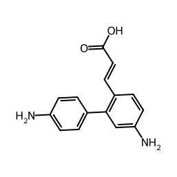 Nc1ccc(-c2cc(N)ccc2/C=C/C(=O)O)cc1